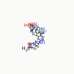 Cc1c(-c2cc3cc(Nc4cc5n(n4)CC(=O)N(C)CC5)ncc3c(N)c2F)cnc2c1NS(O)(O)C2